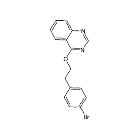 Brc1ccc(CCOc2ncnc3ccccc23)cc1